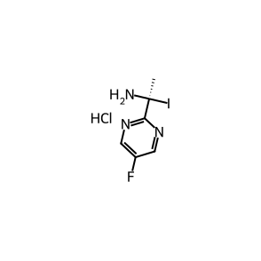 C[C@](N)(I)c1ncc(F)cn1.Cl